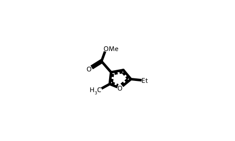 CCc1cc(C(=O)OC)c(C)o1